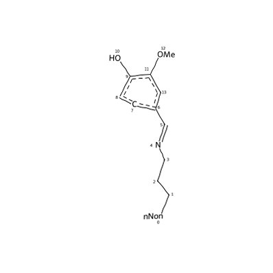 CCCCCCCCCCCCN=Cc1ccc(O)c(OC)c1